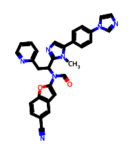 Cn1c(-c2ccc(-n3ccnc3)cc2)cnc1C(Cc1ccccn1)N(C=O)c1cc2cc(C#N)ccc2o1